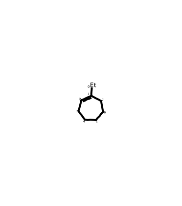 CCC1=[C]CCCCC1